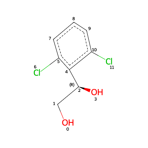 OC[C@H](O)c1c(Cl)cccc1Cl